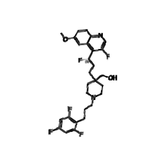 COc1ccc2ncc(F)c([C@@H](F)CCC3(CO)CCN(CCCc4c(F)cc(F)cc4F)CC3)c2c1